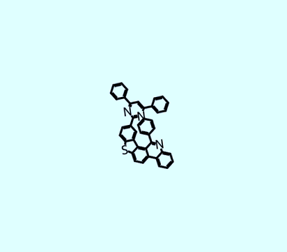 c1ccc(-c2cc(-c3ccccc3)nc(-c3ccc4sc5ccc6c7ccccc7nc(-c7ccccc7)c6c5c4c3)n2)cc1